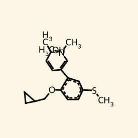 CSc1ccc(OCC2CC2)c(C(/C=C\C(C)O)=C/N(C)C)c1